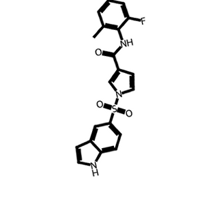 Cc1cccc(F)c1NC(=O)c1ccn(S(=O)(=O)c2ccc3[nH]ccc3c2)c1